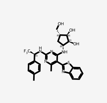 Cc1ccc([C@H](Nc2nc(C)c(-c3nc4ccccc4s3)c(N[C@@H]3C[C@H](CO)[C@@H](O)[C@H]3O)n2)C(F)(F)F)cc1